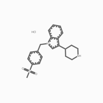 CS(=O)(=O)c1ccc(Cn2cc(C3CCNCC3)c3ccccc32)cc1.Cl